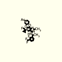 CC(=O)N1CCC(Oc2c(=O)n(C3(CF)CC3)cc3c(N[C@H](C)c4cccc(C(F)F)c4F)nc(C)nc23)CC1